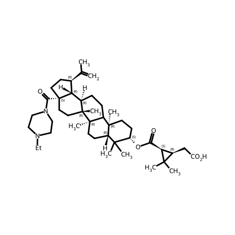 C=C(C)[C@@H]1CC[C@]2(C(=O)N3CCN(CC)CC3)CC[C@]3(C)[C@H](CCC4[C@@]5(C)CC[C@H](OC(=O)[C@H]6[C@@H](CC(=O)O)C6(C)C)C(C)(C)[C@@H]5CC[C@]43C)[C@@H]12